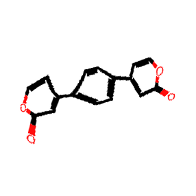 O=c1cc(-c2ccc(-c3ccoc(=O)c3)cc2)cco1